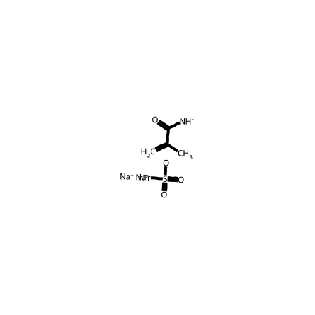 C=C(C)C([NH-])=O.CCCS(=O)(=O)[O-].[Na+].[Na+]